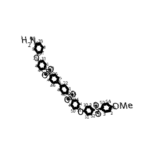 COc1ccc(S(=O)(=O)c2ccc(Oc3ccc(S(=O)(=O)c4ccc(-c5ccc(S(=O)(=O)c6ccc(Oc7cccc(N)c7)cc6)cc5)cc4)cc3)cc2)cc1